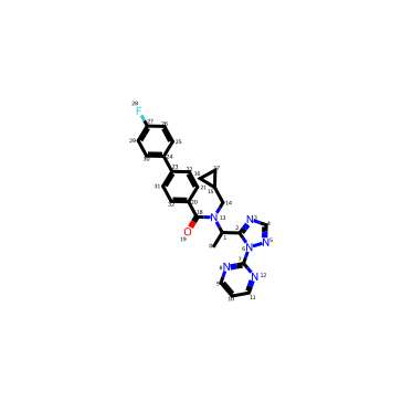 CC(c1ncnn1-c1ncccn1)N(CC1CC1)C(=O)c1ccc(-c2ccc(F)cc2)cc1